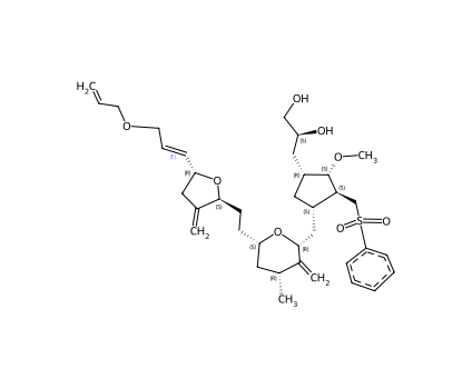 C=CCOC/C=C/[C@H]1CC(=C)[C@H](CC[C@H]2C[C@@H](C)C(=C)[C@@H](C[C@@H]3C[C@H](C[C@H](O)CO)[C@H](OC)[C@H]3CS(=O)(=O)c3ccccc3)O2)O1